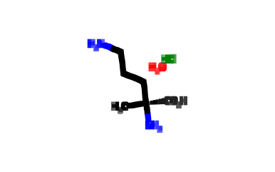 C[C@](N)(CCCN)C(=O)O.Cl.O